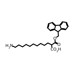 NCCCCCCCCCCC(C(=O)O)C(=O)OCC1c2ccccc2-c2ccccc21